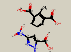 Cc1c(C(=O)O)cccc1C(=O)O.O=C(O)c1cc([N+](=O)[O-])n[nH]1